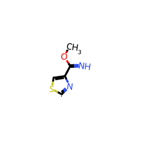 COC(=N)c1cs[c]n1